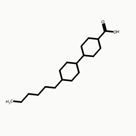 CCCCCCC1CCC(C2CCC(C(=O)O)CC2)CC1